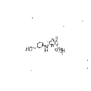 CC(C)(C)NC(=O)c1c[nH]c2ncc(Nc3cccc(CCO)c3)nc12